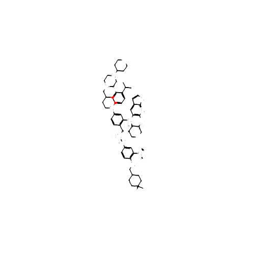 CC(C)c1ccccc1[C@@H]1CN(C2CCOCC2)CCN1CC1CCN(c2ccc(C(=O)NS(=O)(=O)c3ccc(NCC4CCC(C)(O)CC4)c([N+](=O)[O-])c3)c(N3c4cc5cc[nH]c5nc4O[C@H]4COCC[C@@H]43)c2)CC1